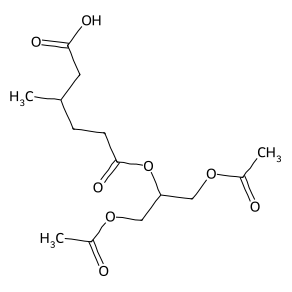 CC(=O)OCC(COC(C)=O)OC(=O)CCC(C)CC(=O)O